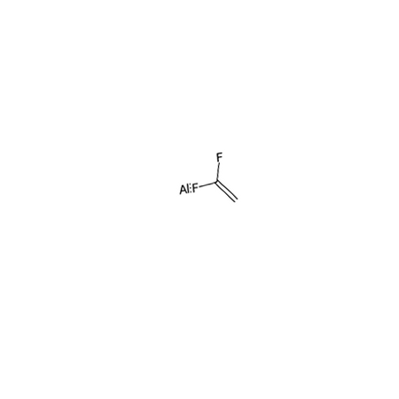 C=C(F)F.[Al]